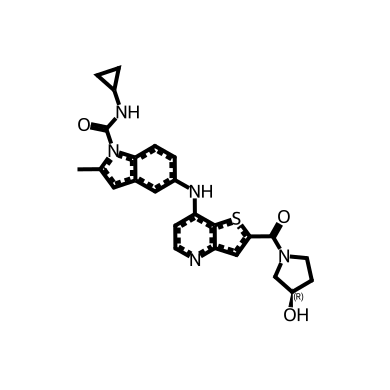 Cc1cc2cc(Nc3ccnc4cc(C(=O)N5CC[C@@H](O)C5)sc34)ccc2n1C(=O)NC1CC1